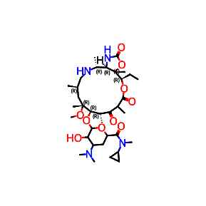 CC[C@H]1OC(=O)C(C)C(=O)[C@H](C)[C@@H](OC2OC(C(=O)N(C)C3CC3)CC(N(C)C)C2O)[C@](C)(OC)C[C@@H](C)CN[C@H](C)[C@H]2NC(=O)O[C@@]21C